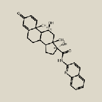 CC12C=CC(=O)C=C1CCC1C2[C@@H](O)CC2(C)C1CC[C@]2(O)C(=O)Nc1ccc2ccccc2n1